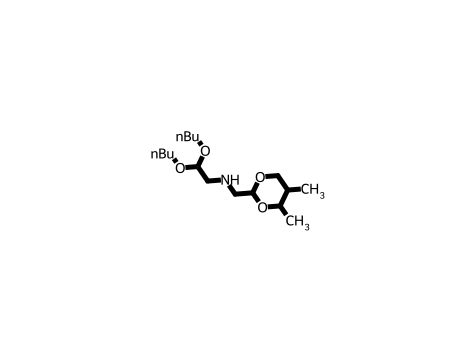 CCCCOC(CNCC1OCC(C)C(C)O1)OCCCC